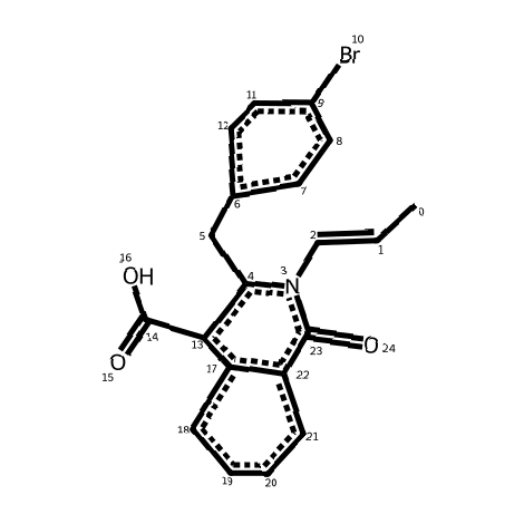 CC=Cn1c(Cc2ccc(Br)cc2)c(C(=O)O)c2ccccc2c1=O